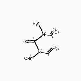 C=CN(C)C(=O)N(C=C)C=O